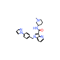 CN1CCCC(NC(=O)c2cn(Cc3ccc(-n4cccn4)cc3)c3cccnc23)C1